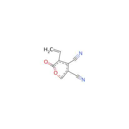 C=Cc1c(C#N)c(C#N)coc1=O